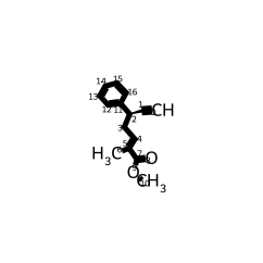 C#C[C@@H](C/C=C(\C)C(=O)OC)c1ccccc1